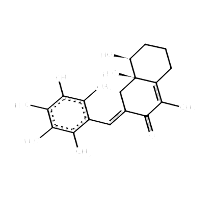 CC1=C2CCC[C@H](O)[C@@]2(C)C/C(=C\c2c(C)c(C)c(C)c(C)c2C)C1=O